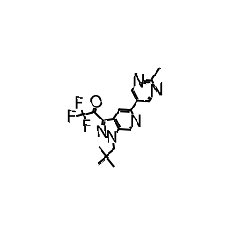 Cc1ncc(-c2cc3c(C(=O)C(F)(F)F)nn(CC(C)(C)C)c3cn2)cn1